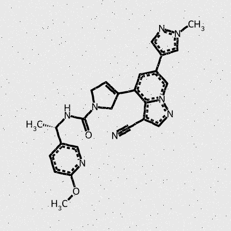 COc1ccc([C@H](C)NC(=O)N2CC=C(c3cc(-c4cnn(C)c4)cn4ncc(C#N)c34)C2)cn1